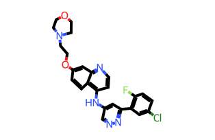 Fc1ccc(Cl)cc1-c1cc(Nc2ccnc3cc(OCCN4CCOCC4)ccc23)cnn1